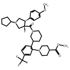 COC(=O)C1CCN(c2cc(C(F)(F)F)ccc2C2CCCN(C(=O)[C@]3(F)CN(C4CCCC4)C[C@H]3c3ccc(OC)cc3)C2)CC1